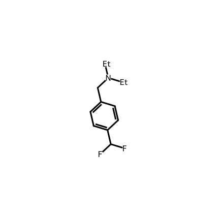 CCN(CC)Cc1ccc(C(F)F)cc1